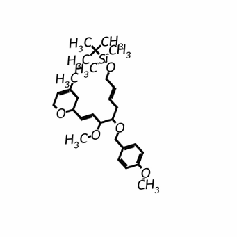 COc1ccc(COC(C/C=C/CO[Si](C)(C)C(C)(C)C)C(/C=C/C2CC(C)=CCO2)OC)cc1